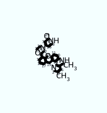 Cc1cncc(C(C)Nc2ccc3c(c2)Cc2cccc(C4CN(c5cc[nH]c(=O)c5)CCO4)c2O3)c1